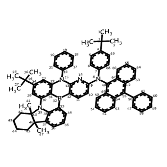 CC(C)(C)c1ccc(N(c2ccc3c(n2)N(c2ccccc2)c2cc(C(C)(C)C)cc4c2B3c2cccc3c2N4C2(C)CCCCC32C)c2c3ccccc3c(-c3ccccc3)c3ccccc23)cc1